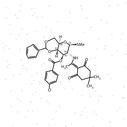 CS[C@@H]1O[C@@H]2COC(c3ccccc3)O[C@H]2[C@H](OC(=O)c2ccc(Cl)cc2)[C@H]1NC(C)=C1C(=O)CC(C)(C)CC1=O